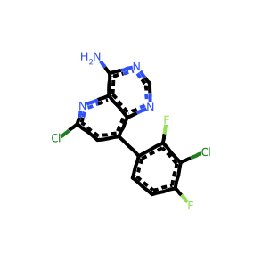 Nc1ncnc2c(-c3ccc(F)c(Cl)c3F)cc(Cl)nc12